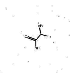 CCC[C@@H](F)C([NH])=O